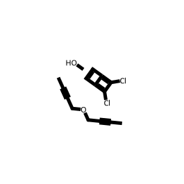 CC#CCOCC#CC.CO.Clc1c2ccc-2c1Cl